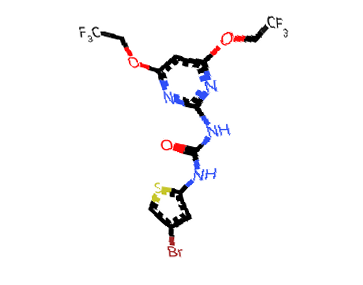 O=C(Nc1nc(OCC(F)(F)F)cc(OCC(F)(F)F)n1)Nc1cc(Br)cs1